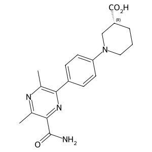 Cc1nc(C)c(-c2ccc(N3CCC[C@@H](C(=O)O)C3)cc2)nc1C(N)=O